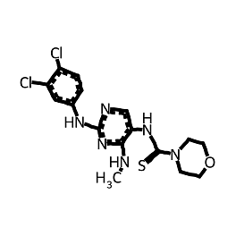 CNc1nc(Nc2ccc(Cl)c(Cl)c2)ncc1NC(=S)N1CCOCC1